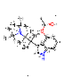 [2H]C([2H])([2H])N(C([2H])([2H])[2H])C([2H])([2H])C([2H])([2H])c1c[nH]c2cccc(OC(C)=O)c12